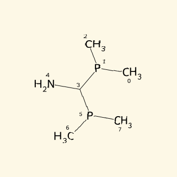 CP(C)C(N)P(C)C